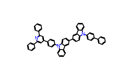 c1ccc(-c2ccc(-n3c4ccccc4c4cc(-c5ccc6c(c5)c5ccccc5n6-c5ccc(-c6cc(-c7ccccc7)nc(-c7ccccc7)c6)cc5)ccc43)cc2)cc1